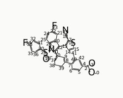 COC(=O)c1ccc(C2=CC(c3c(-c4ccsc4C#N)c4cc(F)ccc4n3[S+]([O-])c3ccc(F)cc3)=CCC2)c(C)c1